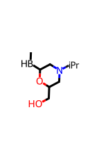 CBC1CN(C(C)C)CC(CO)O1